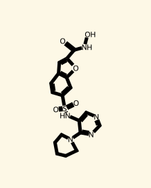 O=C(NO)c1cc2ccc(S(=O)(=O)Nc3cncnc3N3CCCCC3)cc2o1